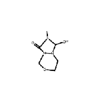 CN1C(=O)N2COCCN2C1O